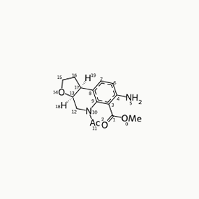 COC(=O)c1c(N)ccc2c1N(C(C)=O)C[C@H]1OCC[C@@H]21